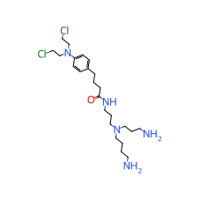 NCCCCN(CCCN)CCCNC(=O)CCCc1ccc(N(CCCl)CCCl)cc1